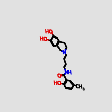 Cc1ccc(O)c(C(=O)NCCCCN2CCc3cc(O)c(O)cc3C2)c1